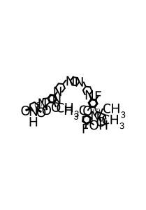 CCC1(CC)C(=O)N(c2cccc(F)c2O)[C@H]1c1cc(F)c(N2CCC(CN3CCN(CC4CCN(c5cc6c(c(OC)n5)C(=O)N([C@H]5CCC(=O)NC5=O)C6)CC4)CC3)CC2)cc1OC